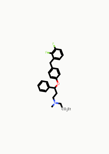 CCOC(=O)CN(C)CCC(Oc1ccc(Cc2cccc(F)c2F)cc1)c1ccccc1